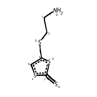 NCCSc1csc(=S)s1